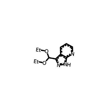 CCOC(OCC)c1n[nH]c2ncccc12